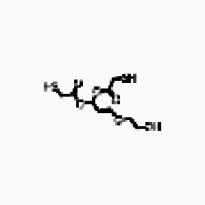 O=C(CS)OC(C=COCCO)OC(=O)CS